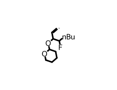 [CH]=CC(OC1CCCCO1)C(F)CCCC